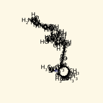 C/C(=C\c1csc(C)n1)[C@@H]1C[C@H]2[C@@H](CCCC(C)[C@H](O)[C@@H](C)C(=O)C(C)(C)C(O)CC(=O)O1)N2CCOC(=O)OCCSSCC(NC(=O)[C@H](CC(=O)O)NC(=O)C(CCCNC(=N)N)NC(=O)[C@H](CC(=O)O)NC(=O)CC[C@H](NC(=O)c1ccc(NCc2cnc3nc(N)[nH]c(=O)c3n2)cc1)C(=O)O)C(=O)O